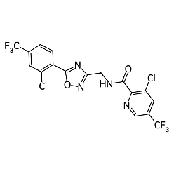 O=C(NCc1noc(-c2ccc(C(F)(F)F)cc2Cl)n1)c1ncc(C(F)(F)F)cc1Cl